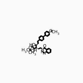 COc1ccc(-c2ccc(C=C[C@@H]3O[C@H]4OC(C)(C)O[C@H]4[C@H]3CCn3nnc4ccccc4c3=O)cc2)cc1